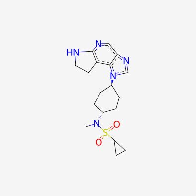 CN([C@H]1CC[C@H](n2cnc3cnc4c(c32)CCN4)CC1)S(=O)(=O)C1CC1